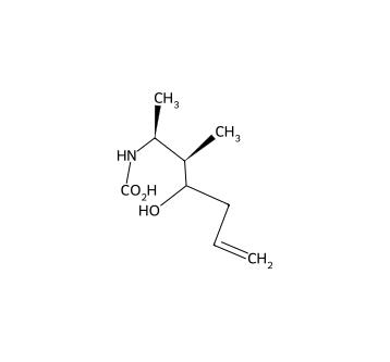 C=CCC(O)[C@H](C)[C@H](C)NC(=O)O